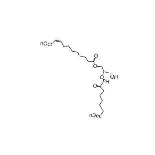 CCCCCCCC/C=C\CCCCCCCC(=O)OCC(CO)OPC(=O)CCCCCCCCCCCCCCC